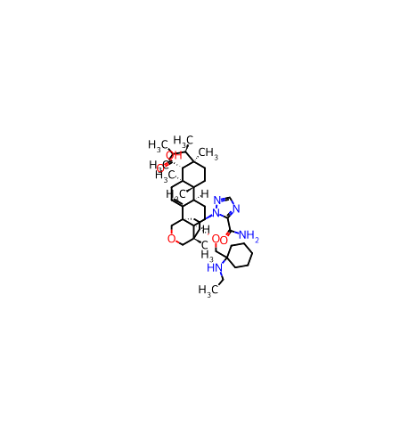 CCNC1(CO[C@H]2[C@H](n3ncnc3C(N)=O)C[C@@]34COC[C@]2(C)[C@@H]3CC[C@H]2C4=CC[C@@]3(C)[C@H](C(=O)O)[C@@](C)([C@H](C)C(C)C)CC[C@]23C)CCCCC1